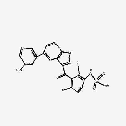 CCCS(=O)(=O)Nc1ccc(F)c(C(=O)c2n[nH]c3ncc(-c4cccc(N)c4)cc23)c1F